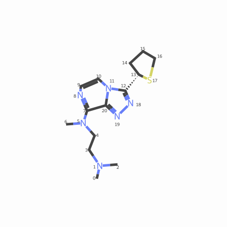 CN(C)CCN(C)c1nccn2c([C@@H]3CCCS3)nnc12